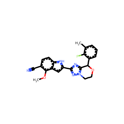 COc1c(C#N)ccc2[nH]c(-c3nc4n(n3)CCOC4c3cccc(C)c3F)cc12